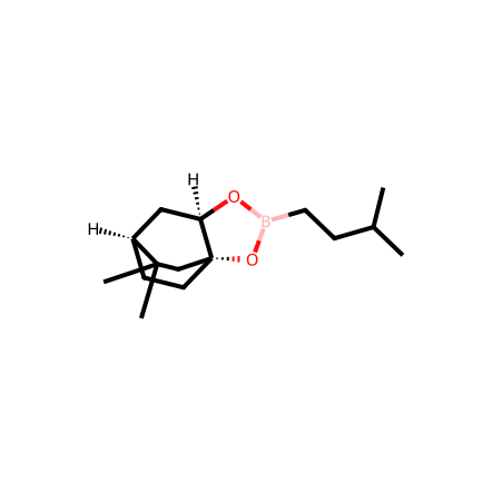 CC(C)CCB1O[C@@H]2C[C@@H]3CC[C@]2(CC3(C)C)O1